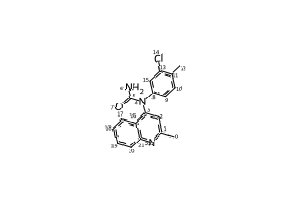 Cc1cc(N(C(N)=O)c2ccc(C)c(Cl)c2)c2ccccc2n1